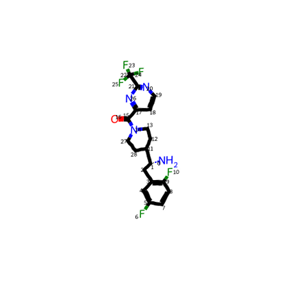 N[C@H](Cc1cc(F)ccc1F)C1CCN(C(=O)c2ccnc(C(F)(F)F)n2)CC1